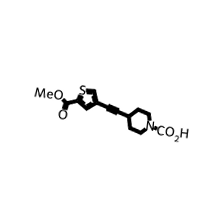 COC(=O)c1cc(C#CC2CCN(C(=O)O)CC2)cs1